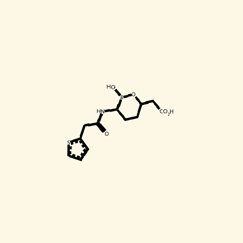 O=C(O)CC1CCC(NC(=O)Cc2cccs2)B(O)O1